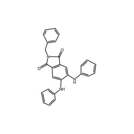 O=C1c2cc(Nc3ccccc3)c(Nc3ccccc3)cc2C(=O)N1Cc1ccccc1